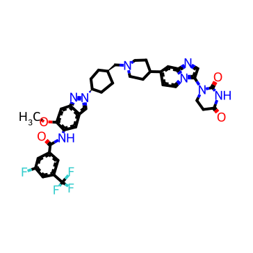 COc1cc2nn([C@H]3CC[C@H](CN4CCC(c5ccn6c(N7CCC(=O)NC7=O)cnc6c5)CC4)CC3)cc2cc1NC(=O)c1cc(F)cc(C(F)(F)F)c1